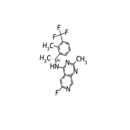 Cc1nc(N[C@H](C)c2cccc(C(F)(F)F)c2C)c2cc(F)ncc2n1